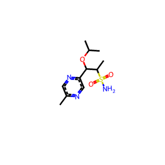 Cc1cnc(C(OC(C)C)C(C)S(N)(=O)=O)cn1